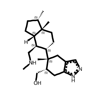 CNC[C@H]1[C@@H]2CC[C@H](C)[C@]2(C)CC[C@@H]1[C@]1(C)Cc2cn[nH]c2C[C@@H]1CO